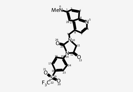 CNc1ccc2nccc(CN3CC(=O)N(c4ccc(S(=O)(=O)C(F)(F)F)cc4)C3=O)c2c1